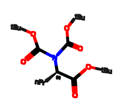 CCC[C@@H](C(=O)OC(C)(C)C)N(C(=O)OC(C)(C)C)C(=O)OC(C)(C)C